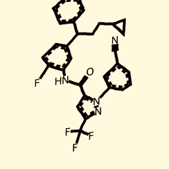 N#Cc1cccc(-n2nc(C(F)(F)F)cc2C(=O)Nc2cc(C(CCC3CC3)c3ccccc3)ccc2F)c1